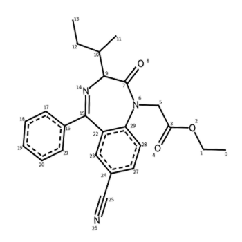 CCOC(=O)CN1C(=O)C(C(C)CC)N=C(c2ccccc2)c2cc(C#N)ccc21